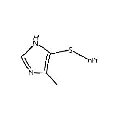 [CH2]CCSc1[nH]cnc1C